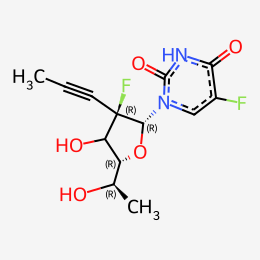 CC#C[C@@]1(F)C(O)[C@@H]([C@@H](C)O)O[C@H]1n1cc(F)c(=O)[nH]c1=O